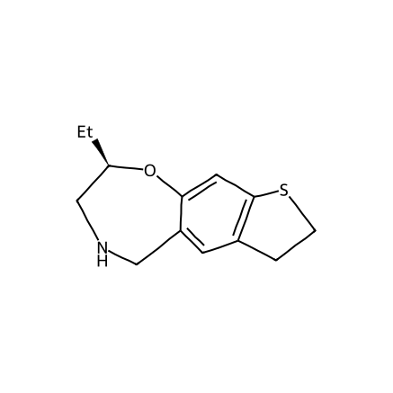 CC[C@@H]1CNCc2cc3c(cc2O1)SCC3